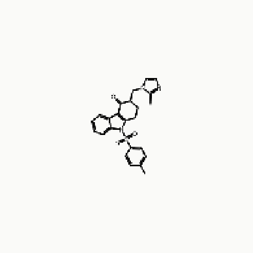 Cc1ccc(S(=O)(=O)n2c3c(c4ccccc42)C(=O)C(Cn2ccnc2C)CC3)cc1